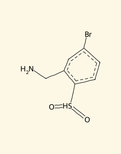 NCc1cc(Br)ccc1[SH](=O)=O